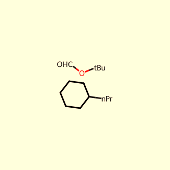 CC(C)(C)OC=O.CCCC1CCCCC1